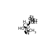 CCO[Si](CCCOC(C(C)O)n1ccnc1C)(OCC)OCC